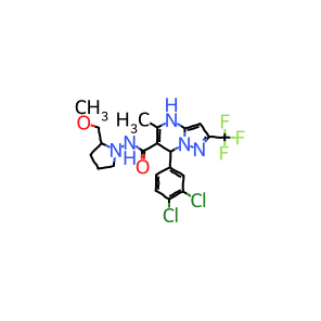 COCC1CCCN1NC(=O)C1=C(C)Nc2cc(C(F)(F)F)nn2C1c1ccc(Cl)c(Cl)c1